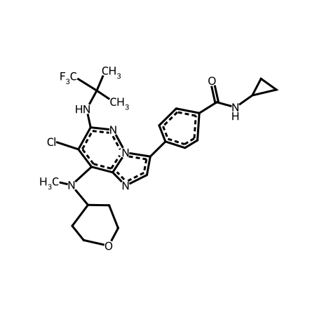 CN(c1c(Cl)c(NC(C)(C)C(F)(F)F)nn2c(-c3ccc(C(=O)NC4CC4)cc3)cnc12)C1CCOCC1